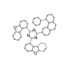 C1=Cc2oc3cccc(-c4nc(-c5ccc6ccc7cccc(-c8ccccc8)c7c6c5)nc(-c5cccc6oc7ccccc7c56)n4)c3c2CC1